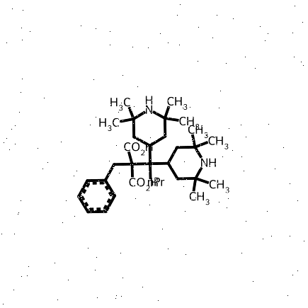 CCCC(C1CC(C)(C)NC(C)(C)C1)(C1CC(C)(C)NC(C)(C)C1)C(Cc1ccccc1)(C(=O)O)C(=O)O